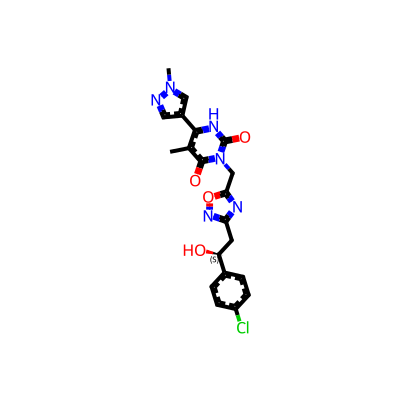 Cc1c(-c2cnn(C)c2)[nH]c(=O)n(Cc2nc(C[C@H](O)c3ccc(Cl)cc3)no2)c1=O